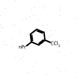 CC[CH]c1cccc(C(Cl)(Cl)Cl)c1